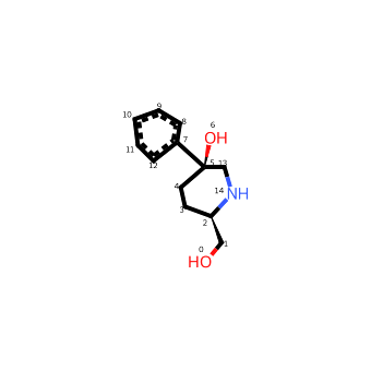 OC[C@H]1CC[C@](O)(c2ccccc2)CN1